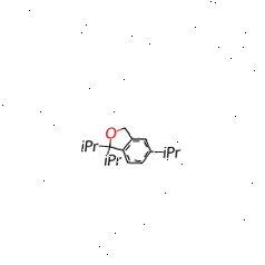 CC(C)c1ccc2c(c1)COC2(C(C)C)C(C)C